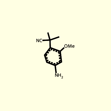 COc1cc(N)ccc1C(C)(C)C#N